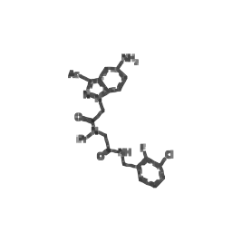 CC(=O)c1nn(CC(=O)N(CC(=O)NCc2cccc(Cl)c2F)C(C)C)c2ccc(N)cc12